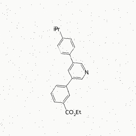 CCOC(=O)c1cccc(-c2cncc(-c3ccc(C(C)C)cc3)c2)c1